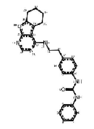 O=C(Nc1ccccc1)Nc1ccc(CCNc2ncnc3oc4c(c23)CCCC4)cc1